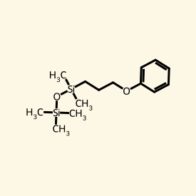 C[Si](C)(C)O[Si](C)(C)CCCOc1ccccc1